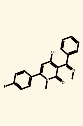 CN=C(c1ccccc1)c1c(O)cc(-c2ccc(F)cc2)n(C)c1=O